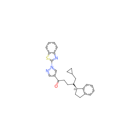 O=C(CCC(CC1CC1)[C@@H]1CCc2ccccc21)c1cnn(-c2nc3ccccc3s2)c1